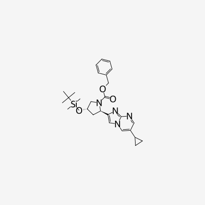 CC(C)(C)[Si](C)(C)O[C@H]1C[C@H](c2cn3cc(C4CC4)cnc3n2)N(C(=O)OCc2ccccc2)C1